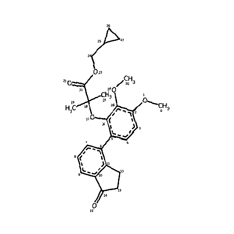 COc1ccc(-c2cccc3c2CCC3=O)c(OC(C)(C)C(=O)OCC2CC2)c1OC